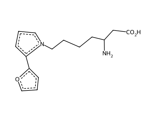 NC(CCCCn1cccc1-c1ccco1)CC(=O)O